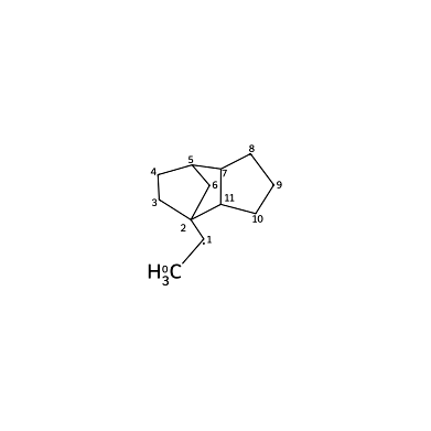 C[CH]C12CCC(C1)C1CCCC12